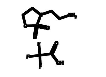 NCCN1CCOS1(=O)=O.O=C(O)C(F)(F)F